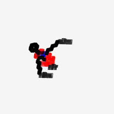 CCCCCCCCCCCCCCCC(=O)N[C@@H](COP(=O)(O)OCCC)[C@@H](CCCCCCCCCCCCCCC)OC(=O)c1ccccc1